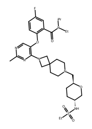 CCN(C(=O)c1cc(F)ccc1Oc1cnc(C)nc1N1CC2(CCN(C[C@@H]3CC[C@@H](NS(=O)(=O)CC)CO3)CC2)C1)C(C)C